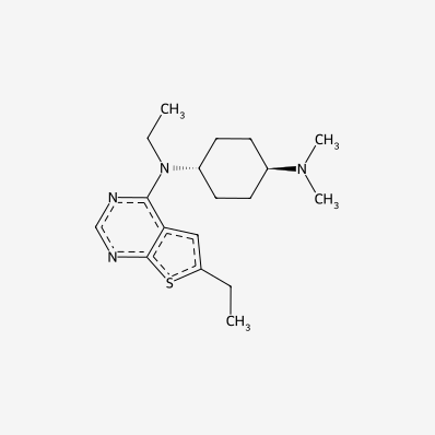 CCc1cc2c(N(CC)[C@H]3CC[C@H](N(C)C)CC3)ncnc2s1